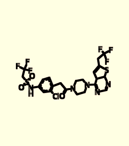 O=C(Cc1ccc(NS(=O)(=O)CC(F)(F)F)cc1Cl)N1CCN(C2=NC=NC3SC(CC(F)(F)F)=CC23)CC1